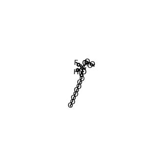 COCCOCCOCCOCCOCCOCCOCCOc1ccc(NC(=O)c2c(-c3ccccc3)c(-c3ccc(F)cc3)n(CC[C@@H]3C[C@H](CC(=O)OC(C)(C)C)OC(C)(C)O3)c2C(C)C)cc1